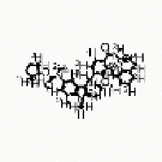 [2H]c1c([2H])c([2H])c(S(=O)(=O)N([2H])C(=O)c2c([2H])c([2H])c(C([2H])([2H])c3c([2H])n(C([2H])([2H])[2H])c4c([2H])c([2H])c(N([2H])C(=O)OC5([2H])C([2H])([2H])CCC5([2H])[2H])c([2H])c34)c(OC([2H])([2H])[2H])c2[2H])c(C([2H])([2H])[2H])c1[2H]